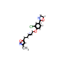 Cc1cc(CC/C=C/COc2ccc(C3=NCCO3)cc2Cl)on1